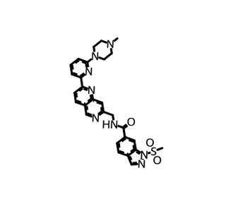 CN1CCN(c2cccc(-c3ccc4cnc(CNC(=O)c5ccc6cnn(S(C)(=O)=O)c6c5)cc4n3)n2)CC1